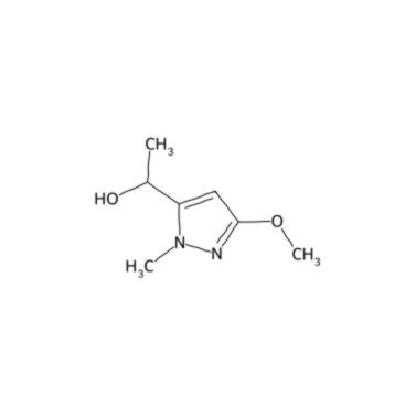 COc1cc(C(C)O)n(C)n1